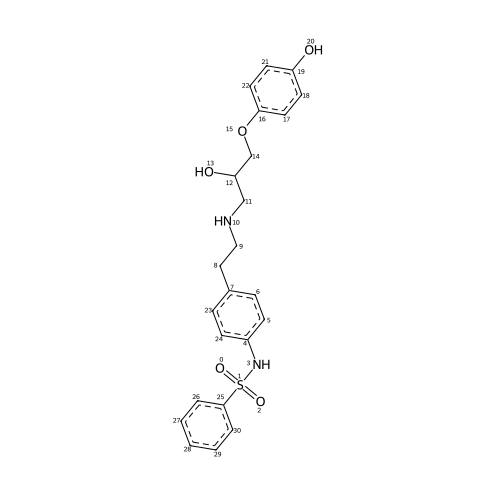 O=S(=O)(Nc1ccc(CCNCC(O)COc2ccc(O)cc2)cc1)c1ccccc1